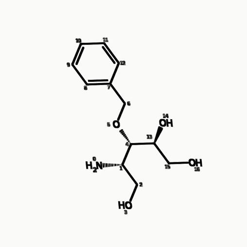 N[C@@H](CO)[C@H](OCc1ccccc1)[C@@H](O)CO